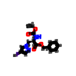 CC(C)(C)OC(=O)N[C@@H](Cn1cc(I)cn1)C(=O)OCc1ccccc1